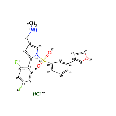 CNCc1cc(-c2ccc(F)cc2F)n(S(=O)(=O)c2cccc(-c3ccoc3)c2)c1.Cl